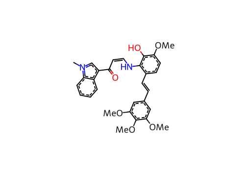 COc1ccc(/C=C/c2cc(OC)c(OC)c(OC)c2)c(N/C=C\C(=O)c2cn(C)c3ccccc23)c1O